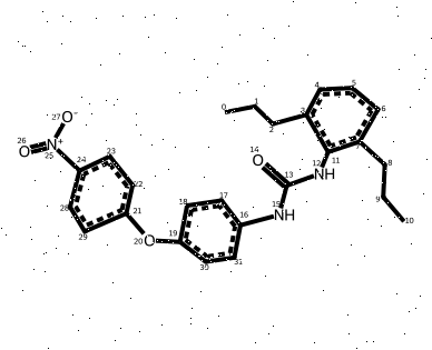 CCCc1cccc(CCC)c1NC(=O)Nc1ccc(Oc2ccc([N+](=O)[O-])cc2)cc1